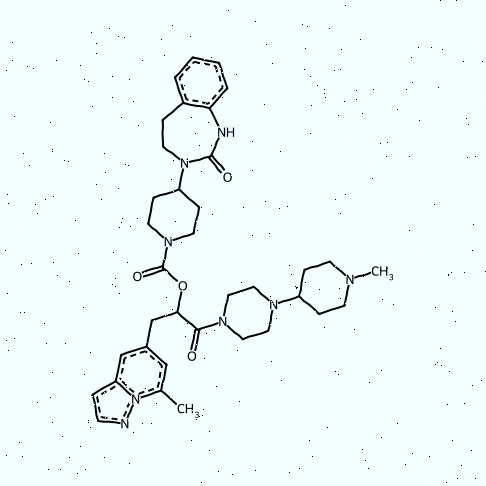 Cc1cc(CC(OC(=O)N2CCC(N3CCc4ccccc4NC3=O)CC2)C(=O)N2CCN(C3CCN(C)CC3)CC2)cc2ccnn12